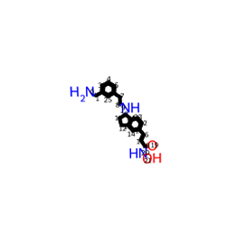 NCc1cccc(CCNC2CCc3cc(C=CC(=O)NO)ccc32)c1